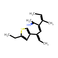 C\C=C(C)/C(=C/C(=C\C)c1csc(CC)c1)C(C)=N